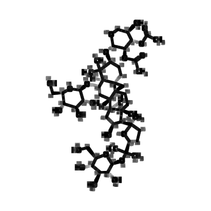 CC(=O)O[C@@H]1[C@@H](OC(C)=O)[C@H](O[C@H]2CC[C@]34C[C@]35CC[C@]3(C)[C@@H]([C@@]6(C)CC[C@@H](C(C)(C)O[C@@H]7O[C@H](CO)[C@@H](O)[C@H](O)[C@H]7O)O6)[C@@H](O)C[C@@]3(C)[C@@H]5C[C@H](O[C@@H]3O[C@H](CO)[C@@H](O)[C@H](O)[C@H]3O)[C@H]4C2(C)C)OC[C@H]1O